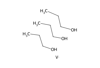 CCCO.CCCO.CCCO.[V]